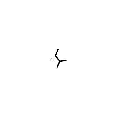 [CH2]C(C)CC.[Cu]